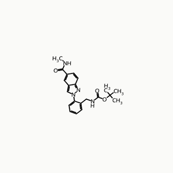 CNC(=O)c1ccc2nn(-c3ccccc3CNC(=O)OC(C)(C)C)cc2c1